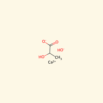 CC(O)C(=O)[O-].[Ca+2].[OH-]